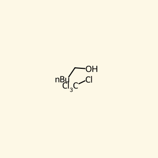 CCCCCO.ClC(Cl)(Cl)Cl